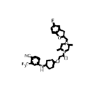 CC1CN(C(=O)COC2CCC(Nc3ccc(C#N)c(C(F)(F)F)c3)CC2)C(C)CN1CC1Cc2cc(F)ccc2O1